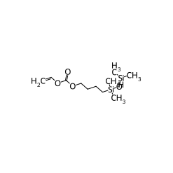 C=COC(=O)OCCCC[Si](C)(C)O[SiH](C)C